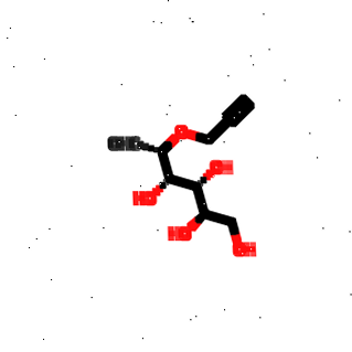 C#CCO[C@@H](C=O)[C@@H](O)[C@H](O)[C@H](O)CO